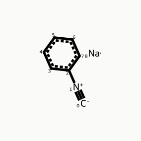 [C-]#[N+]c1ccccc1.[Na]